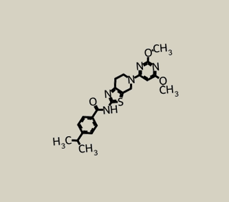 COc1cc(N2CCc3nc(NC(=O)c4ccc(C(C)C)cc4)sc3C2)nc(OC)n1